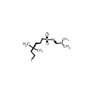 CN(C)/C=N/S(=O)(=O)CCCC(C)(C)CCI